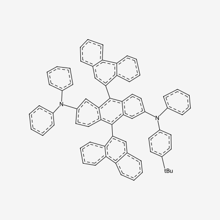 CC(C)(C)c1ccc(N(c2ccccc2)c2ccc3c(-c4cc5ccccc5c5ccccc45)c4cc(N(c5ccccc5)c5ccccc5)ccc4c(-c4cc5ccccc5c5ccccc45)c3c2)cc1